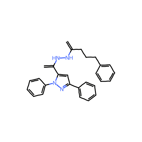 C=C(CCCc1ccccc1)NNC(=C)c1cc(-c2ccccc2)nn1-c1ccccc1